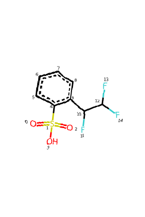 O=S(=O)(O)c1ccccc1C(F)C(F)F